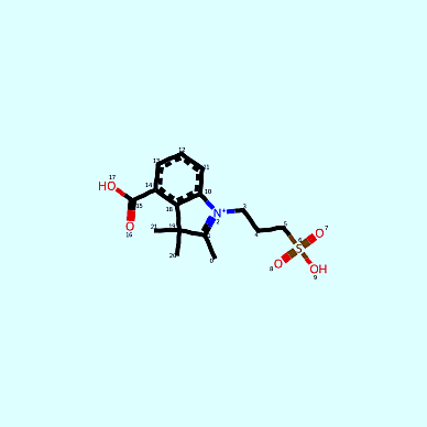 CC1=[N+](CCCS(=O)(=O)O)c2cccc(C(=O)O)c2C1(C)C